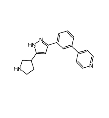 c1cc(-c2ccncc2)cc(-c2cc(C3CCNC3)[nH]n2)c1